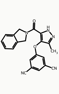 Cc1n[nH]c(C(=O)N2Cc3ccccc3C2)c1Oc1cc(C#N)cc(C#N)c1